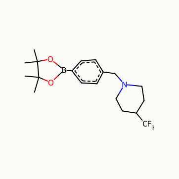 CC1(C)OB(c2ccc(CN3CCC(C(F)(F)F)CC3)cc2)OC1(C)C